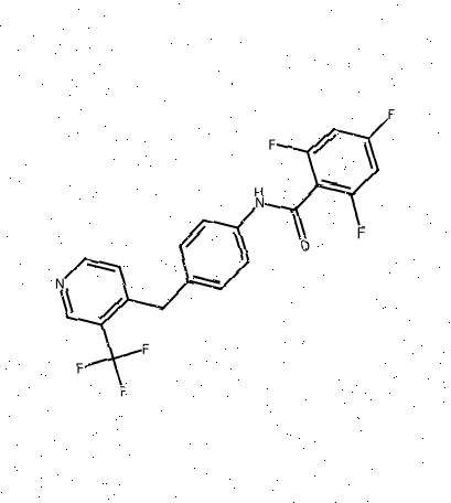 O=C(Nc1ccc(Cc2ccncc2C(F)(F)F)cc1)c1c(F)cc(F)cc1F